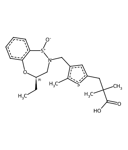 CC[C@@H]1CN(Cc2cc(CC(C)(C)C(=O)O)sc2C)[S+]([O-])c2ccccc2O1